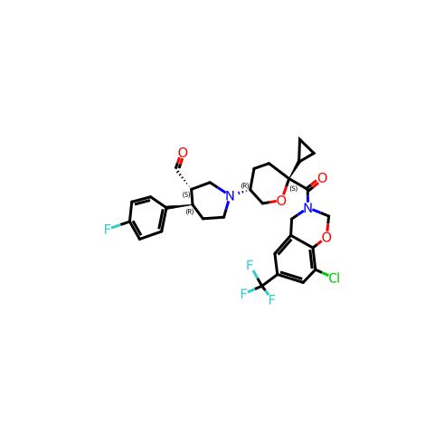 O=C[C@@H]1CN([C@@H]2CC[C@@](C(=O)N3COc4c(Cl)cc(C(F)(F)F)cc4C3)(C3CC3)OC2)CC[C@H]1c1ccc(F)cc1